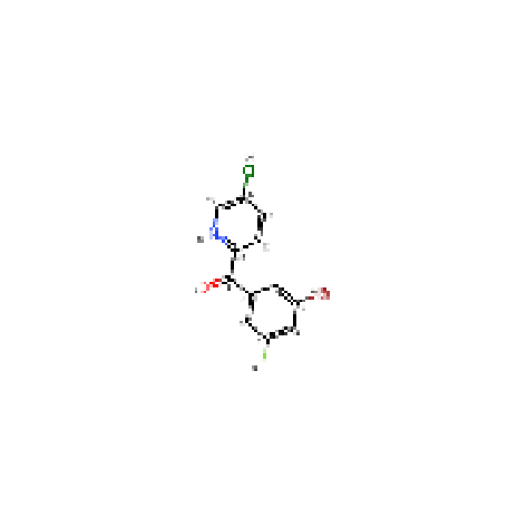 O=C(c1cc(F)cc(Br)c1)c1ccc(Cl)cn1